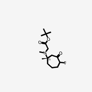 CN(CC(=O)OC(C)(C)C)[C@@]1(C)CCCC(F)C(=O)C1